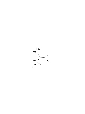 CCN(C)N([SH](=O)=O)S(=O)(=O)F